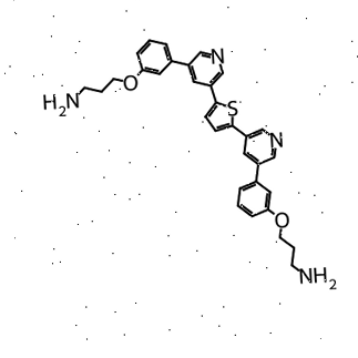 NCCCOc1cccc(-c2cncc(-c3ccc(-c4cncc(-c5cccc(OCCCN)c5)c4)s3)c2)c1